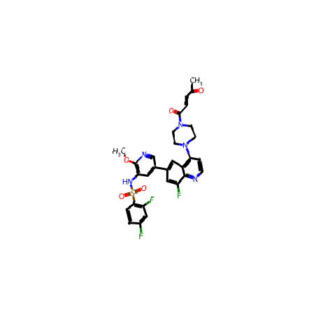 COc1ncc(-c2cc(F)c3nccc(N4CCN(C(=O)/C=C/C(C)=O)CC4)c3c2)cc1NS(=O)(=O)c1ccc(F)cc1F